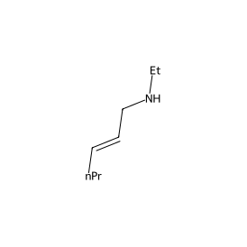 CCCC=CCNCC